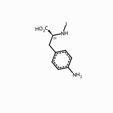 Nc1ccc(C[C@H](NI)C(=O)O)cc1